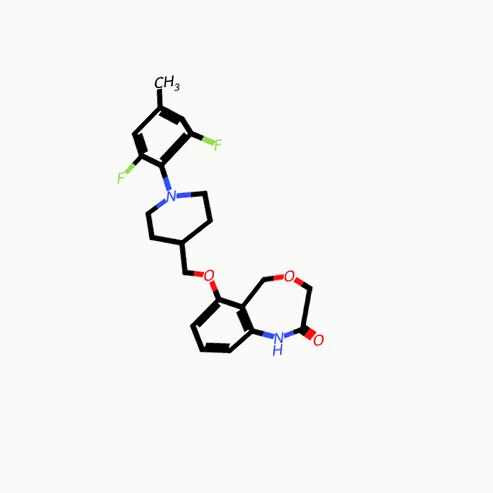 Cc1cc(F)c(N2CCC(COc3cccc4c3COCC(=O)N4)CC2)c(F)c1